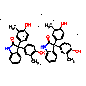 Cc1cc(C2(c3ccc(O)c(C)c3)C(=O)Nc3ccccc32)ccc1O.Cc1cc(C2(c3ccc(O)c(C)c3)C(=O)Nc3ccccc32)ccc1O